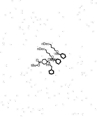 CC(C)(C)OC(=O)N1CCC(CNCc2ccccc2)(C(=O)O)CC1.CCCCCCCCCCCCCCONc1ccccc1.CCCCCCCCCCCCCCONc1ccccc1